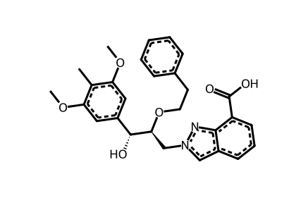 COc1cc([C@@H](O)[C@H](Cn2cc3cccc(C(=O)O)c3n2)OCCc2ccccc2)cc(OC)c1C